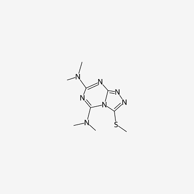 CSc1nnc2nc(N(C)C)nc(N(C)C)n12